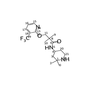 CC1(C)CC(NC(=O)C(C)(C)COc2ncccc2C(F)(F)F)CCN1